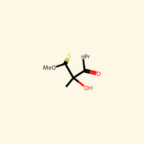 CCCC(=O)C(C)(O)C(=S)OC